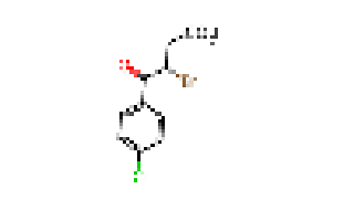 O=C(O)CC(Br)C(=O)c1ccc(Cl)cc1